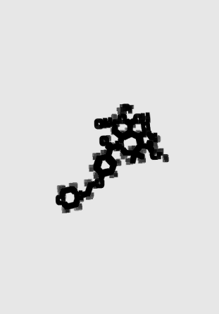 COCC1=C(C(O)OC(C)C)c2[nH]nc(C(F)(F)F)c2C(C)(C)CN1C(=O)c1ccc(OCCN2CCOCC2)cc1